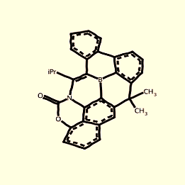 CC(C)C1=C2B3c4c(cccc4C(C)(C)c4cc5cccc6c5c(c43)N1C(=O)O6)-c1ccccc12